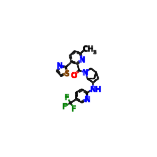 Cc1ccc(-c2nccs2)c(C(=O)N2CC3CC(Nc4ccc(C(F)(F)F)cn4)C2C3)n1